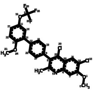 COc1cc2nc(C)c(-c3ccc(-c4cc(OC(F)(F)F)ccc4OC)cc3)c(Cl)c2cc1Cl